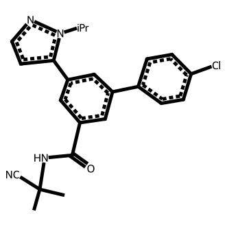 CC(C)n1nccc1-c1cc(C(=O)NC(C)(C)C#N)cc(-c2ccc(Cl)cc2)c1